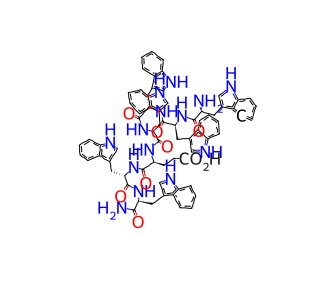 NC(=O)[C@H](Cc1c[nH]c2ccccc12)NC(=O)[C@H](Cc1c[nH]c2ccccc12)NC(=O)[C@H](CCC(=O)O)NC(=O)[C@H](Cc1c[nH]c2ccccc12)NC(=O)[C@H](Cc1c[nH]c2ccccc12)NC(=O)[C@H](Cc1c[nH]c2ccccc12)NC(=O)[C@@H](N)Cc1c[nH]c2ccccc12